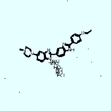 CCOc1ccc(-c2nc3cc(-c4nc5cc(N6CCN(C)CC6)ccc5[nH]4)ccc3[nH]2)cc1.Cl.Cl.Cl.Cl.Cl.Cl